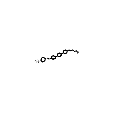 CCC[C@H]1CC[C@H](CCc2ccc(-c3ccc(-c4ccc(CCCCCF)cc4)cc3)cc2)CC1